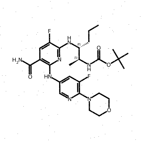 CCC[C@@H](Nc1nc(Nc2cnc(N3CCOCC3)c(F)c2)c(C(N)=O)cc1F)[C@H](C)NC(=O)OC(C)(C)C